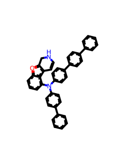 C1=Cc2c(oc3cccc(N(c4ccc(-c5ccccc5)cc4)c4ccc(-c5ccc(-c6ccccc6)cc5)cc4)c23)CN1